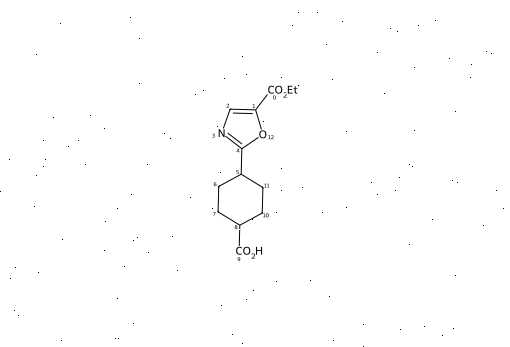 CCOC(=O)c1cnc(C2CCC(C(=O)O)CC2)o1